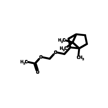 CC(=O)OCOCC1CC2CCC1(C)C2(C)C